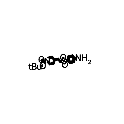 CC(C)(C)OC(=O)N1CCC(CCS(=O)(=O)c2ccc(N)cc2)CC1